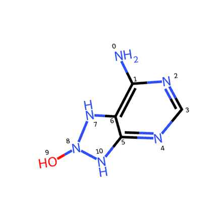 Nc1ncnc2c1NN(O)N2